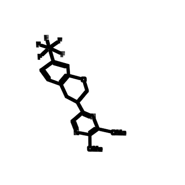 COc1ncc(C2COc3cc(S(F)(F)(F)(F)F)ccc3C2)nc1OC